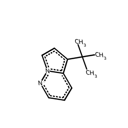 CC(C)(C)c1ccn2ncccc12